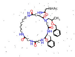 CC(=O)NCC(=O)N[C@H]1CC(=O)NCCCCCNC(=O)CNC(=O)CNC(=O)[C@@H](Cc2ccccc2)NC(=O)CN(CC(C)OCc2ccccc2)C1=O